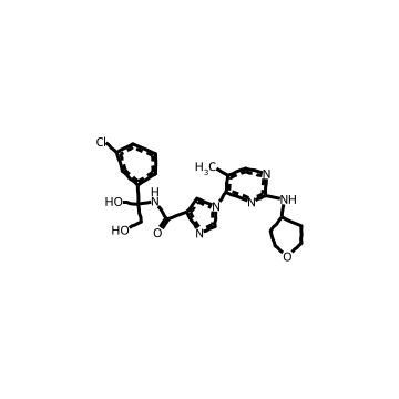 Cc1cnc(NC2CCOCC2)nc1-n1cnc(C(=O)NC(O)(CO)c2cccc(Cl)c2)c1